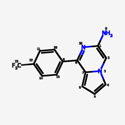 Nc1cn2cccc2c(-c2ccc(C(F)(F)F)cc2)n1